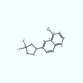 FC1(F)CCN(c2ccc3nccc(Cl)c3c2)C1